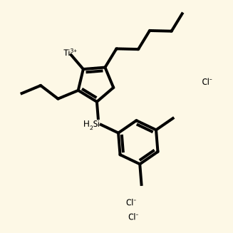 CCCCCC1=[C]([Ti+3])C(CCC)=C([SiH2]c2cc(C)cc(C)c2)C1.[Cl-].[Cl-].[Cl-]